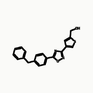 OCc1cc(-c2noc(-c3ccc(Cc4ccccc4)cc3)n2)cs1